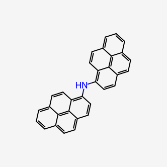 c1cc2ccc3ccc(Nc4ccc5ccc6cccc7ccc4c5c67)c4ccc(c1)c2c34